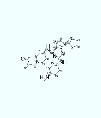 CC(C=O)CN1CCC(Nc2nc(NC3CCC(N)CC3)nc3c2ncn3C2CCCC2)CC1